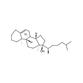 CC(C)CCC[C@@H](C)[C@@]1(O)CC[C@H]2[C@@H]3CC=C4CCCC[C@]4(C)[C@H]3CC[C@@]21C